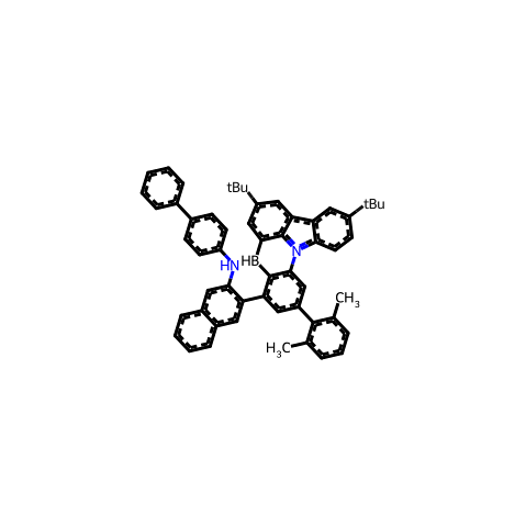 Cc1cccc(C)c1-c1cc(-c2cc3ccccc3cc2Nc2ccc(-c3ccccc3)cc2)c2c(c1)-n1c3ccc(C(C)(C)C)cc3c3cc(C(C)(C)C)cc(c31)B2